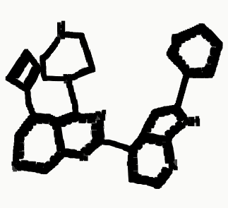 C1=CC(c2cncc3nc(-c4ccnc5[nH]c(-c6ccccc6)cc45)nc(N4CCNCC4)c23)=C1